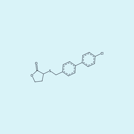 O=C1OCCC1SCc1ccc(-c2ccc(Cl)cc2)cc1